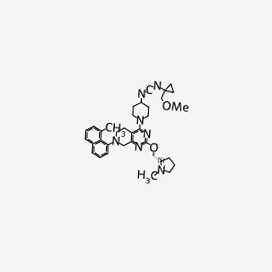 COCC1(N=C=NC2CCN(c3nc(OC[C@@H]4CCCN4C)nc4c3CCN(c3cccc5cccc(C)c35)C4)CC2)CC1